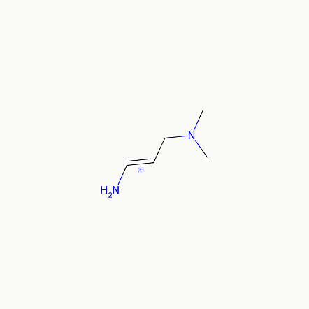 CN(C)C/C=C/N